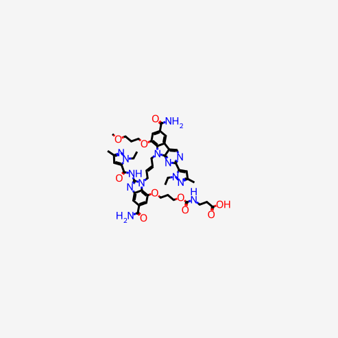 CCn1nc(C)cc1C(=O)Nc1nc2cc(C(N)=O)cc(OCCCOC(=O)NCCC(=O)O)c2n1CC=CCn1c2nc(-c3cc(C)nn3CC)ncc2c2cc(C(N)=O)cc(OCCCOC)c21